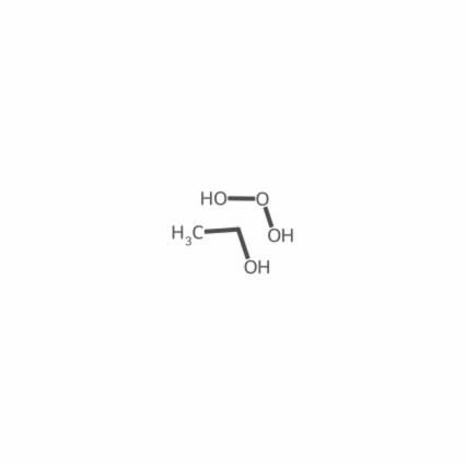 CCO.OOO